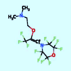 CN(C)CCO[C](=[Cf][N]1C(F)(F)C(F)(F)OC(F)(F)C1(F)F)C(F)(F)F